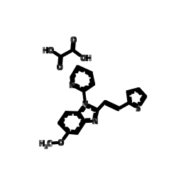 COc1ccc2c(c1)nc(/C=C/c1cccs1)n2-c1ccccn1.O=C(O)C(=O)O